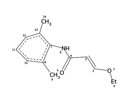 CCO/C=C/C(=O)Nc1c(C)cccc1C